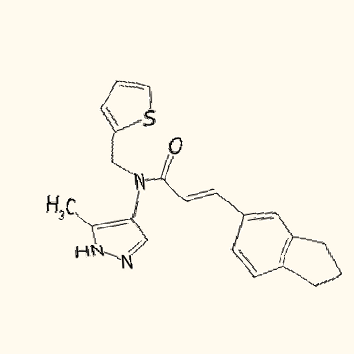 Cc1[nH]ncc1N(Cc1cccs1)C(=O)/C=C/c1ccc2c(c1)CCC2